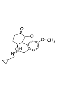 COc1ccc2c3c1OC1C(=O)CC[C@@](O)(/C(=N/CC4CC4)C2)C31